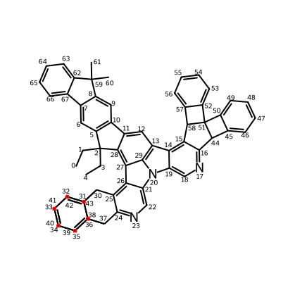 CCC1(CC)c2cc3c(cc2-c2cc4c5c6c(ncc5n5c7cnc8c(c7c(c21)c45)C1c2ccccc2C8c2ccccc21)C1c2ccccc2C12c1ccccc1C62)C(C)(C)c1ccccc1-3